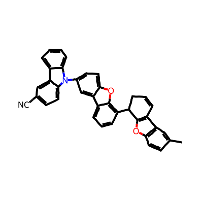 Cc1ccc2oc3c(c2c1)C=CCC3c1cccc2c1oc1ccc(-n3c4ccccc4c4cc(C#N)ccc43)cc12